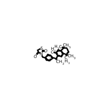 C=C(c1ccc(CN2C(=O)CSC2=O)cc1)c1cc2c(cc1C)C(C)(C)CCC2(C)C